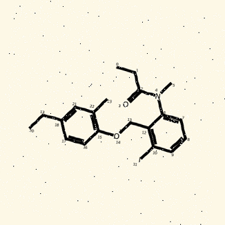 CCC(=O)N(C)c1cccc(I)c1COc1ccc(CC)cc1C